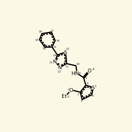 CCOc1ccsc1C(=O)NCc1nnc(-c2ccccc2)s1